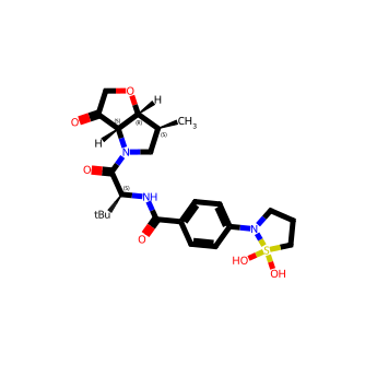 C[C@H]1CN(C(=O)[C@@H](NC(=O)c2ccc(N3CCCS3(O)O)cc2)C(C)(C)C)[C@@H]2C(=O)CO[C@@H]21